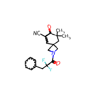 CC1(C)CC2(C=C(C#N)C1=O)CN(C(=O)C(F)(F)Cc1ccccc1)C2